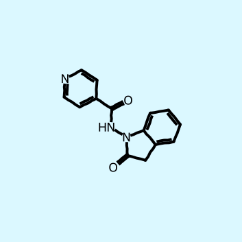 O=C(NN1C(=O)Cc2ccccc21)c1ccncc1